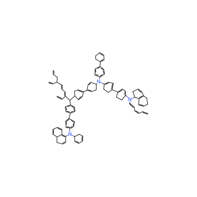 C=C/C=C\C=C\N(C1=CC=C(C2=CC=C(N(c3ccc(C4=CC=CCC4)cc3)C3C=CC(C4=CCC(C(/C(C=C)=C/C=C/C(C=C)CC=C)c5ccc(-c6ccc(N(C7=C8C=CC=CC8CC=C7)C7C=CC=CC7)cc6)cc5)C=C4)=CC3)CC2)CC1)C1CC=CC2=C1C=CCC2